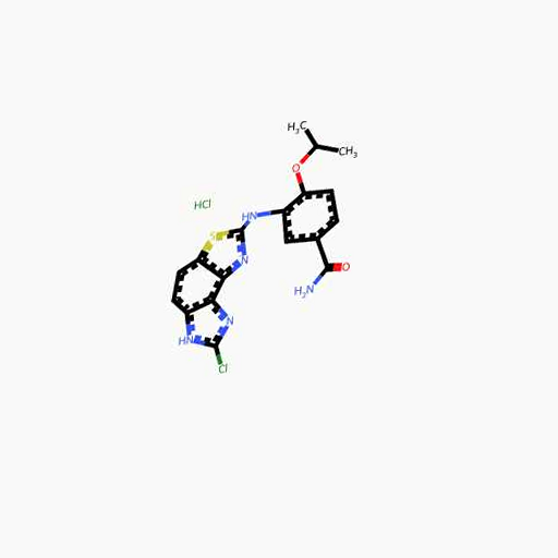 CC(C)Oc1ccc(C(N)=O)cc1Nc1nc2c(ccc3[nH]c(Cl)nc32)s1.Cl